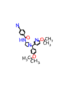 CC(C)Oc1ccc(C(c2ccc(OC(C)C)nc2)N2CC[C@@H](NC(=O)c3ccc(C#N)cc3)C2)cc1